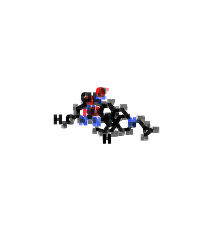 Cc1cc(C)nc(N2C[C@H]3CC45CCC2C3C42CCN(CC3CC3)C5Cc3cc([N+](=O)[O-])c(O)cc32)n1